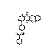 O=C(Nc1ccc(-c2cc(N[C@@H](Cc3ccccc3)C(=O)O)ncn2)cc1)c1ccccc1